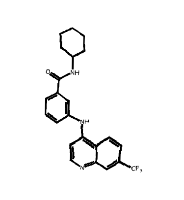 O=C(NC1CCCCC1)c1cccc(Nc2ccnc3cc(C(F)(F)F)ccc23)c1